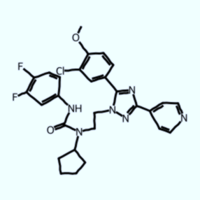 COc1ccc(-c2nc(-c3ccncc3)nn2CCN(C(=O)Nc2ccc(F)c(F)c2)C2CCCC2)cc1Cl